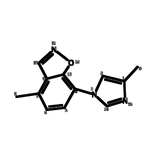 Cc1cn(-c2ccc(C)c3cnoc23)cn1